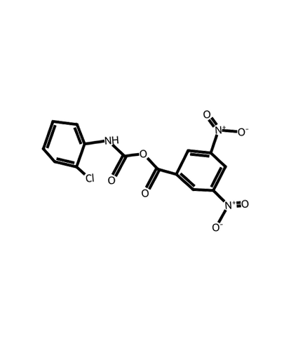 O=C(Nc1ccccc1Cl)OC(=O)c1cc([N+](=O)[O-])cc([N+](=O)[O-])c1